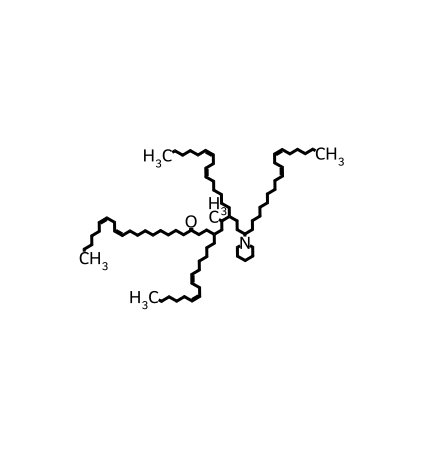 CCCCC/C=C\C/C=C\CCCCCCCCC(=O)CCC(CCCCC/C=C\C/C=C\CCCCC)CC(C)C(CCCCC/C=C\C/C=C\CCCCC)CCC(CCCCCCCC/C=C\C/C=C\CCCCC)N1CCCCC1